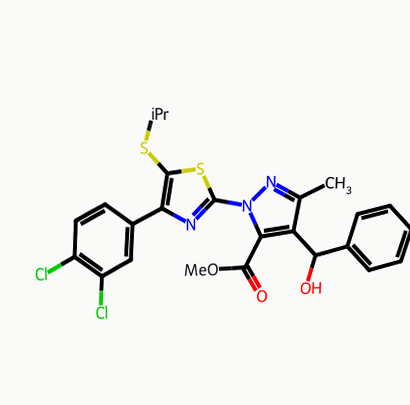 COC(=O)c1c(C(O)c2ccccc2)c(C)nn1-c1nc(-c2ccc(Cl)c(Cl)c2)c(SC(C)C)s1